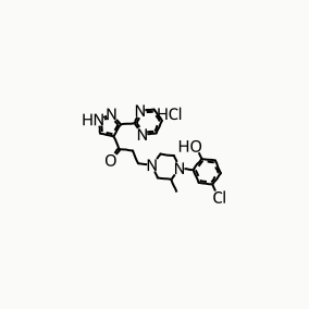 CC1CN(CCC(=O)c2c[nH]nc2-c2ncccn2)CCN1c1cc(Cl)ccc1O.Cl